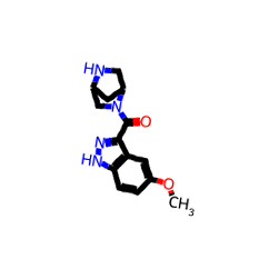 COc1ccc2[nH]nc(C(=O)N3CC4CC3CN4)c2c1